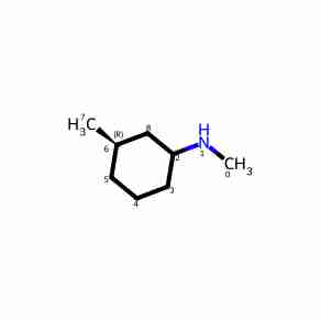 CNC1CCC[C@@H](C)C1